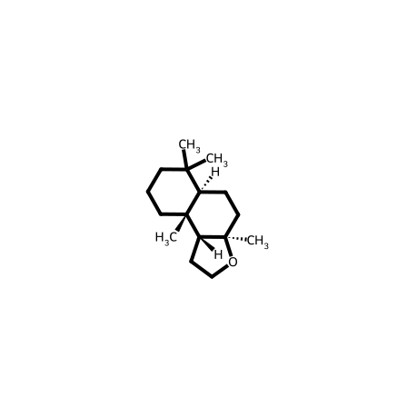 CC1(C)CCC[C@]2(C)[C@@H]1CC[C@@]1(C)OCC[C@H]21